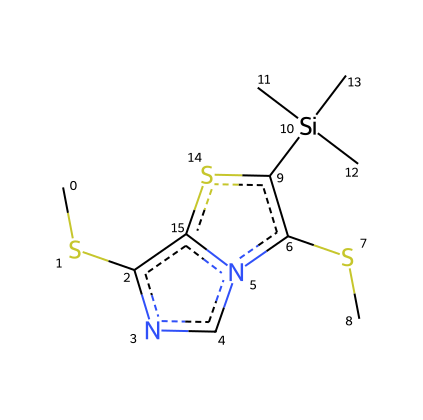 CSc1ncn2c(SC)c([Si](C)(C)C)sc12